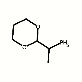 CC(P)C1OCCCO1